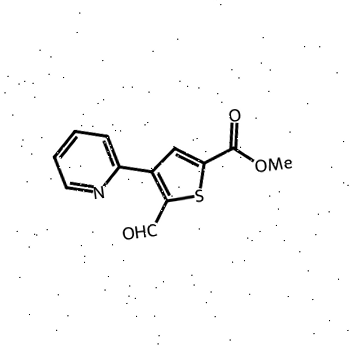 COC(=O)c1cc(-c2ccccn2)c(C=O)s1